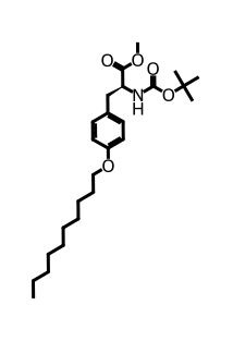 CCCCCCCCCCOc1ccc(C[C@H](NC(=O)OC(C)(C)C)C(=O)OC)cc1